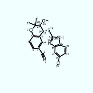 CC1(C)Oc2ccc(C#N)cc2[C@@H](Sc2nc3cc(Cl)ccc3[nH]2)[C@@H]1O